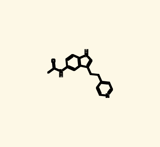 CC(=O)Nc1ccc2[nH]cc(CCc3ccncc3)c2c1